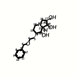 O[C@@H]1[C@H](CCOCc2ccccc2)CCN2C[C@@H](O)[C@@H](O)[C@@H]12